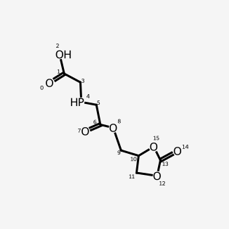 O=C(O)CPCC(=O)OCC1COC(=O)O1